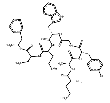 CSCC[C@H](NC(=O)[C@H](Cc1c[nH]c2ccccc12)NC(=O)CNC(=O)[C@H](Cc1ccc(O)cc1)NC(=O)[C@H](C)NC(=O)[C@H](N)CCC(=O)O)C(=O)N[C@@H](CC(=O)O)C(=O)N[C@@H](Cc1ccccc1)C(=O)O